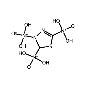 [O-][N+](O)(O)C1=NN([N+]([O-])(O)O)C([N+]([O-])(O)O)S1